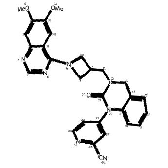 COc1cc2ncnc(N3CC(CN4Cc5ccccc5N(c5ccnc(C#N)c5)C4=O)C3)c2cc1OC